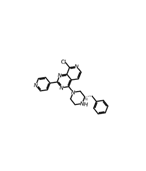 Clc1nccc2c(N3CCN[C@@H](Cc4ccccc4)C3)nc(-c3ccncc3)nc12